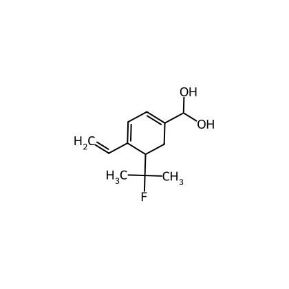 C=CC1=CC=C(C(O)O)CC1C(C)(C)F